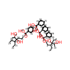 CCC(CC)C(O)(CC)C(C)O.CCCC(O)(C(C)O)C(CC)CC.O=C(O)c1ccccc1.O=C(O)c1ccccc1.O=C(O)c1ccccc1.O=C(O)c1ccccc1